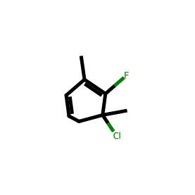 CC1=C(F)C(C)(Cl)CC=C1